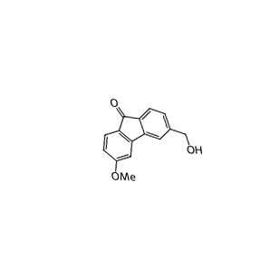 COc1ccc2c(c1)-c1cc(CO)ccc1C2=O